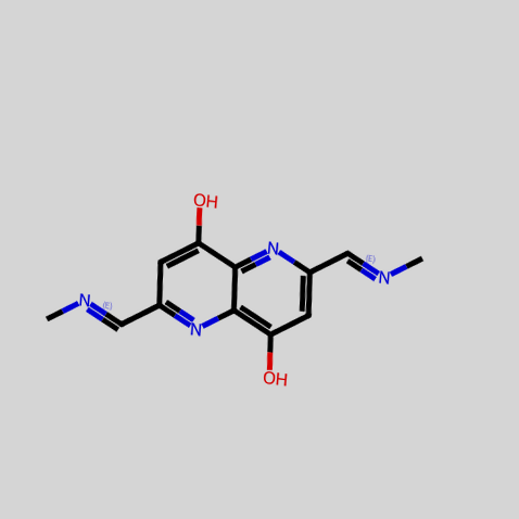 C/N=C/c1cc(O)c2nc(/C=N/C)cc(O)c2n1